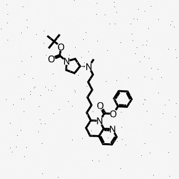 CN(CCCCCCC1CCc2cccnc2N1C(=O)Oc1ccccc1)[C@@H]1CCN(C(=O)OC(C)(C)C)C1